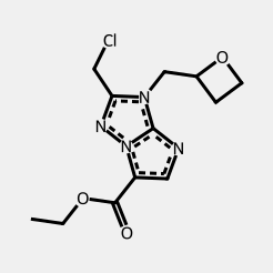 CCOC(=O)c1cnc2n(CC3CCO3)c(CCl)nn12